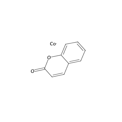 O=c1ccc2ccccc2o1.[Co]